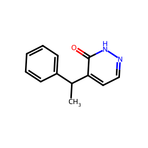 CC(c1ccccc1)c1ccn[nH]c1=O